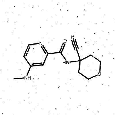 CNc1ccnc(C(=O)NC2(C#N)CCOCC2)c1